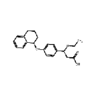 CCO[C@@H](CC(=O)O)c1ccc(O[C@@H]2CCCc3ccccc32)cc1